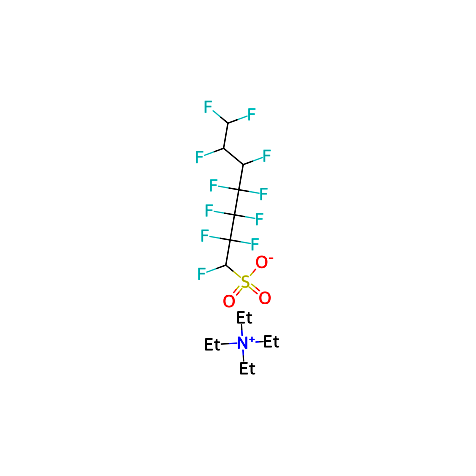 CC[N+](CC)(CC)CC.O=S(=O)([O-])C(F)C(F)(F)C(F)(F)C(F)(F)C(F)C(F)C(F)F